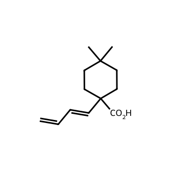 C=CC=CC1(C(=O)O)CCC(C)(C)CC1